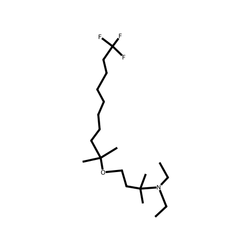 CCN(CC)C(C)(C)CCOC(C)(C)CCCCCCCC(F)(F)F